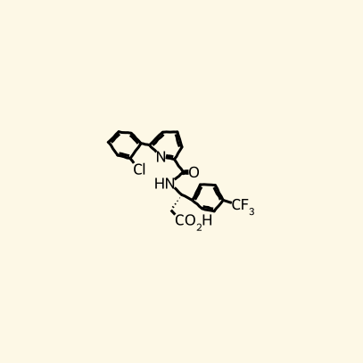 O=C(O)C[C@H](NC(=O)c1cccc(-c2ccccc2Cl)n1)c1ccc(C(F)(F)F)cc1